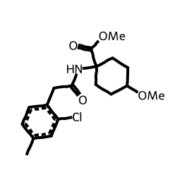 COC(=O)C1(NC(=O)Cc2ccc(C)cc2Cl)CCC(OC)CC1